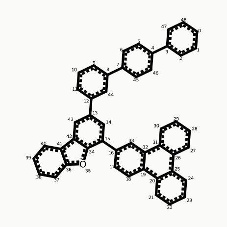 c1ccc(-c2ccc(-c3cccc(-c4cc(-c5ccc6c7ccccc7c7ccccc7c6c5)c5oc6ccccc6c5c4)c3)cc2)cc1